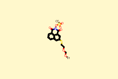 CCOCOCCSc1cc2c3c(cccc3c1)C(=O)N(OS(=O)(=O)C(F)(F)F)C2=O